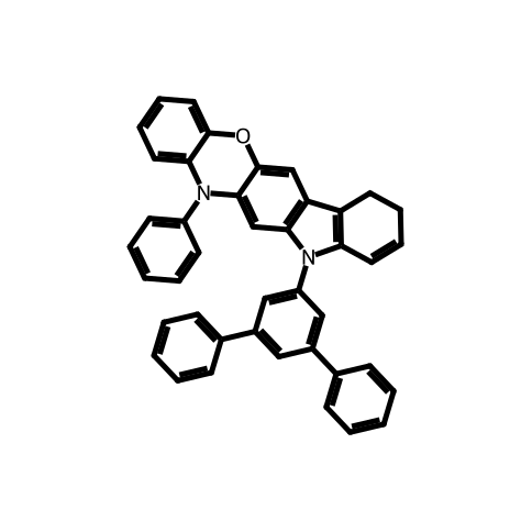 C1=Cc2c(c3cc4c(cc3n2-c2cc(-c3ccccc3)cc(-c3ccccc3)c2)N(c2ccccc2)c2ccccc2O4)CC1